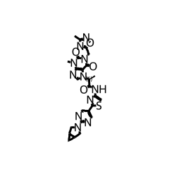 Cc1noc(Cn2c(=O)c3c(ncn3[C@@H](C)C(=O)Nc3csc(-c4cnc(N5CC6CC6C5)nc4)n3)n(C)c2=O)n1